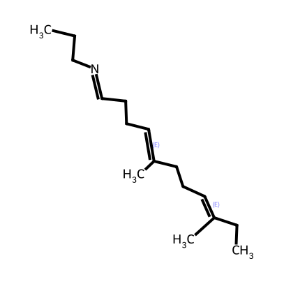 CCCN=CCC/C=C(\C)CC/C=C(\C)CC